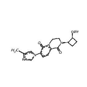 CO[C@H]1CC[C@H]1N1CCn2c(ccc(-n3cnc(C)c3)c2=O)C1=O